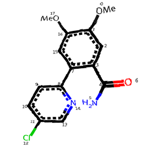 COc1cc(C(N)=O)c(-c2ccc(Cl)cn2)cc1OC